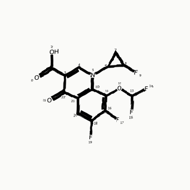 O=C(O)c1cn(C2CC2F)c2c(OC(F)F)c(F)c(F)cc2c1=O